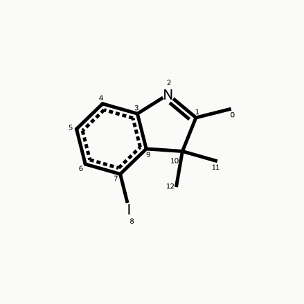 CC1=Nc2cccc(I)c2C1(C)C